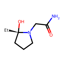 CC[C@]1(O)CCCN1CC(N)=O